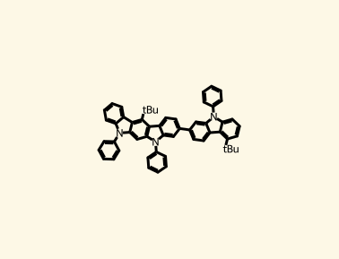 CC(C)(C)c1cccc2c1c1ccc(-c3ccc4c5c(C(C)(C)C)c6c7ccccc7n(-c7ccccc7)c6cc5n(-c5ccccc5)c4c3)cc1n2-c1ccccc1